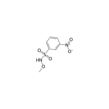 CONS(=O)(=O)c1cccc([N+](=O)[O-])c1